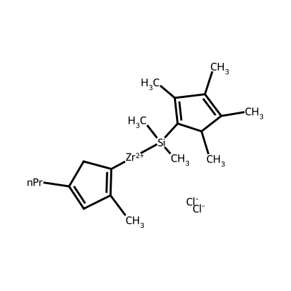 CCCC1=CC(C)=[C]([Zr+2][Si](C)(C)C2=C(C)C(C)=C(C)C2C)C1.[Cl-].[Cl-]